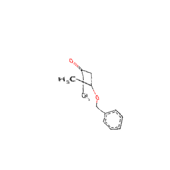 CC1(C)C(=O)CC1OCc1ccccc1